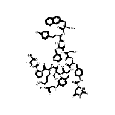 CC(=O)N[C@H](Cc1ccc2ccccc2c1)C(=O)N[C@H](CCc1ccc(Cl)cc1)C(=O)N[C@H](Cc1cccnc1)C(=O)N[C@@H](CO)C(=O)N[C@@H](Cc1ccc(NC(=O)[C@@H]2CC(=O)NC(=O)N2)cc1)C(=O)N[C@H](Cc1ccc(NCC(N)=O)cc1)C(=O)N[C@@H](CC(C)C)C(=O)N[C@@H](CCCCNC(C)C)C(=O)N1CCC[C@H]1C(=O)N[C@H](C)C(N)=O